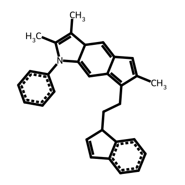 CC1=CC2=CC3C(=CC2=C1CCC1C=Cc2ccccc21)N(c1ccccc1)C(C)=C3C